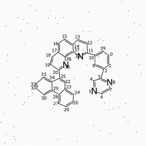 c1cc(-c2cnccn2)cc(-c2ccc3ccc4ccc(-c5cc6ccccc6c6ccccc56)nc4c3n2)c1